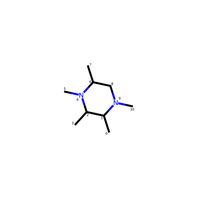 CC1C(C)N(C)C(C)CN1C